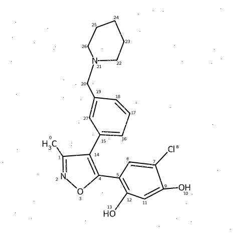 Cc1noc(-c2cc(Cl)c(O)cc2O)c1-c1cccc(CN2CCCCC2)c1